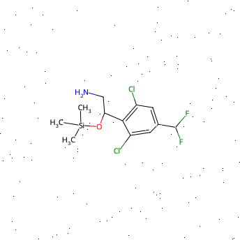 C[Si](C)(C)OC(CN)c1c(Cl)cc(C(F)F)cc1Cl